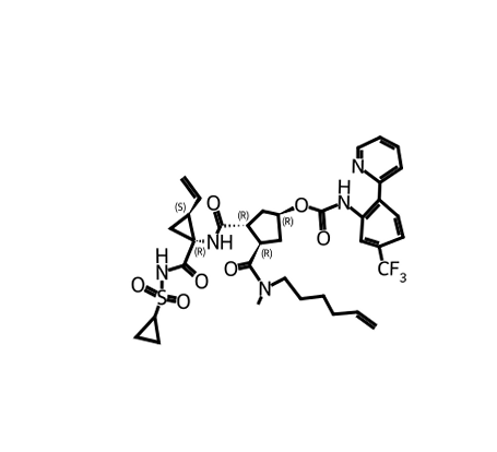 C=CCCCCN(C)C(=O)[C@@H]1C[C@H](OC(=O)Nc2cc(C(F)(F)F)ccc2-c2ccccn2)C[C@H]1C(=O)N[C@]1(C(=O)NS(=O)(=O)C2CC2)C[C@H]1C=C